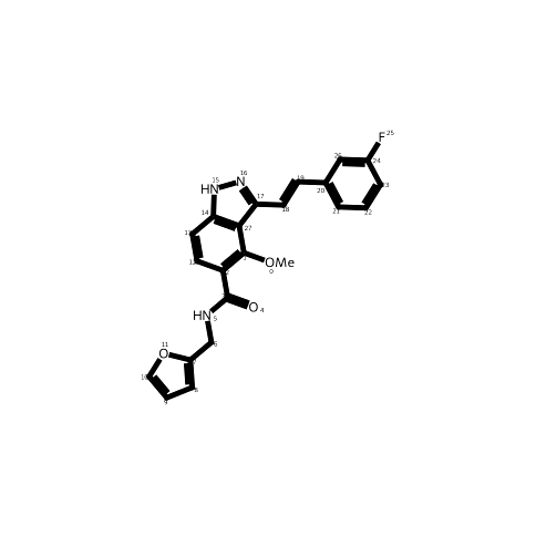 COc1c(C(=O)NCc2ccco2)ccc2[nH]nc(/C=C/c3cccc(F)c3)c12